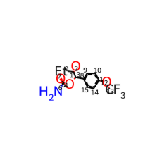 CCC(=O)C(OC(N)=O)c1ccc(OC(F)(F)F)cc1